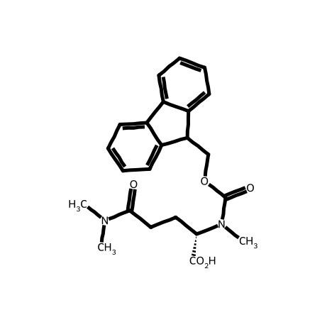 CN(C)C(=O)CC[C@@H](C(=O)O)N(C)C(=O)OCC1c2ccccc2-c2ccccc21